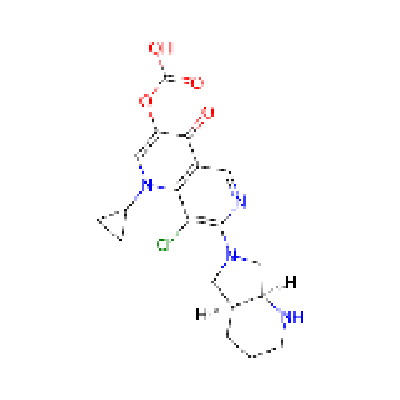 O=C(O)Oc1cn(C2CC2)c2c(Cl)c(N3C[C@@H]4CCCN[C@@H]4C3)ncc2c1=O